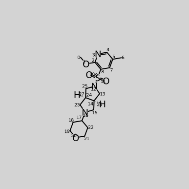 COc1ncc(C)cc1S(=O)(=O)N1C[C@H]2CN(C3CCOCC3)C[C@H]2C1